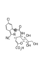 CC(C)C(=O)N[C@H]1[C@H]([C@H](O)[C@H](O)CO)OC(C(=O)O)=C[C@@H]1n1nc2cc(Cl)ccc2c1C#N